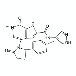 Cc1ccc(C2CCC(=O)N2c2cn(C)c(=O)c3[nH]c(C(=O)Nc4cn[nH]c4)cc23)cc1